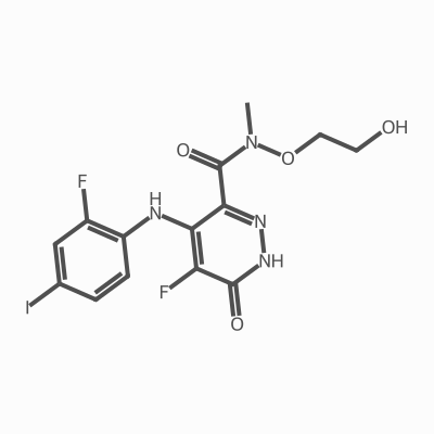 CN(OCCO)C(=O)c1n[nH]c(=O)c(F)c1Nc1ccc(I)cc1F